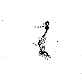 COc1cc(C(=O)NCCCCc2ccc(-c3ccccc3)c(NC(=O)O)c2)c(Cl)cc1CNCC(O)c1ccc(O)c2[nH]c(=O)ccc12